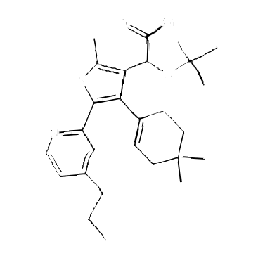 CCCc1ccnc(-c2sc(C)c(C(OC(C)(C)C)C(=O)O)c2C2=CCC(C)(C)CC2)c1